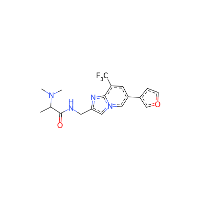 CC(C(=O)NCc1cn2cc(-c3ccoc3)cc(C(F)(F)F)c2n1)N(C)C